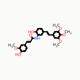 COc1cc(/C=C/C(=O)Nc2cc(C=Cc3cc(OC)c(OC)c(OC)c3)ccc2O)ccc1O